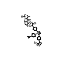 COC(=O)N[C@H](C(=O)N1CCC[C@H]1C1NC(Br)=C(C2C=CC(c3ccc(-c4ccc(-c5nc[nH]c5Br)cc4)n3-c3ccc(C4CC4)cc3)=CC2)N1)C(C)C